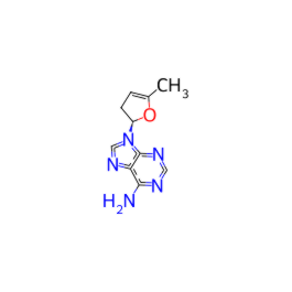 CC1=CC[C@H](n2cnc3c(N)ncnc32)O1